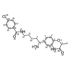 CC1Oc2ccc(C(N)CCCCNC(=O)c3ccc(Cl)cc3)cc2NC1=O